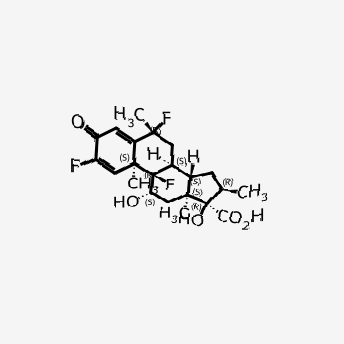 C[C@@H]1C[C@H]2[C@@H]3C[C@@](C)(F)C4=CC(=O)C(F)=C[C@]4(C)[C@@]3(F)[C@@H](O)C[C@]2(C)[C@@]1(O)C(=O)O